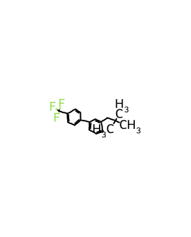 CC(C)(C)Cc1cccc(-c2ccc(C(F)(F)F)cc2)c1